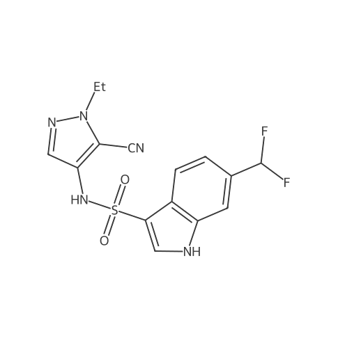 CCn1ncc(NS(=O)(=O)c2c[nH]c3cc(C(F)F)ccc23)c1C#N